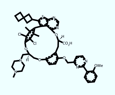 COc1ccccc1-c1nccc(COc2ccc3cc2C[C@H](C(=O)O)Oc2ncnc4sc(C5CC6(CCC6)C5)c(c24)-c2c(C)c(Cl)c(c(Cl)c2C)O[C@H](CN2CCN(C)CC2)CO3)n1